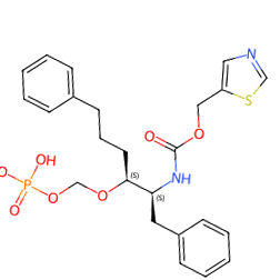 O=C(N[C@@H](Cc1ccccc1)[C@H](CCCc1ccccc1)OCOP(=O)(O)O)OCc1cncs1